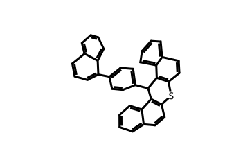 c1ccc2c(-c3ccc(C4c5c(ccc6ccccc56)Sc5ccc6ccccc6c54)cc3)cccc2c1